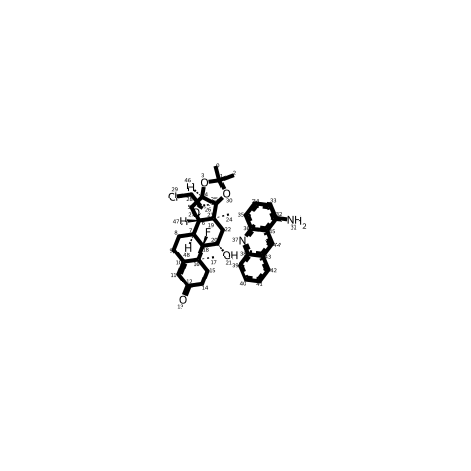 CC1(C)O[C@@H]2C[C@H]3[C@@H]4CCC5=CC(=O)CC[C@]5(C)[C@@]4(F)[C@@H](O)C[C@]3(C)[C@]2(C(=O)CCl)O1.Nc1cccc2nc3ccccc3cc12